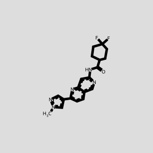 Cn1cc(-c2ccc3cnc(NC(=O)C4CCC(F)(F)CC4)cc3n2)cn1